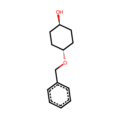 O[C@H]1CC[C@H](OCc2ccccc2)CC1